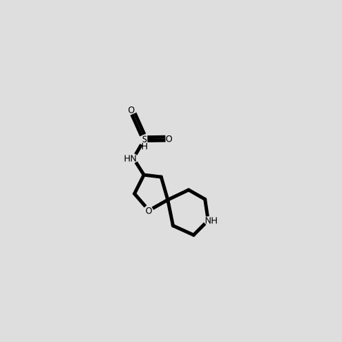 O=[SH](=O)NC1COC2(CCNCC2)C1